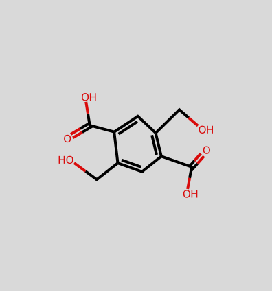 O=C(O)c1cc(CO)c(C(=O)O)cc1CO